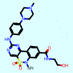 CCCN1c2cc(C(=O)NCCO)ccc2-c2nc(Nc3ccc(N4CCN(C)CC4)cc3)ncc2S1(=O)=O